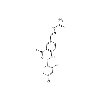 NC(=S)N/N=C/c1ccc(NCc2ccc(Cl)cc2Cl)c([N+](=O)[O-])c1